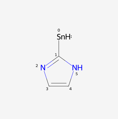 [SnH][c]1ncc[nH]1